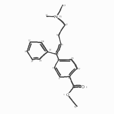 COC(=O)c1ccc(C(=CCCN(C)C)c2ccccc2)cc1